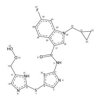 O=C(Nc1ncc(Sc2ncc(COO)[nH]2)s1)c1cn(CC2CC2)c2cc(F)ccc12